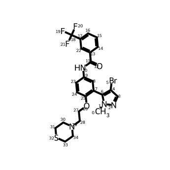 Cn1ncc(Br)c1-c1cc(NC(=O)c2cccc(C(F)(F)F)c2)ccc1OCCN1CCSCC1